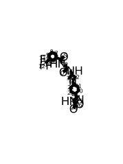 O=C(CNC(=O)c1cccc(C(F)(F)F)c1)NC1CN(C2CCC(c3noc(=O)[nH]3)CC2)C1